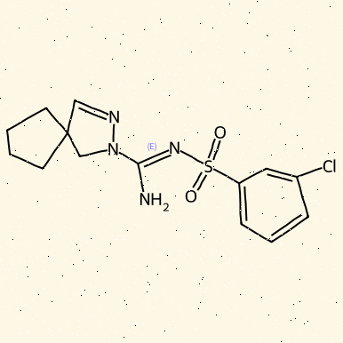 N/C(=N\S(=O)(=O)c1cccc(Cl)c1)N1CC2(C=N1)CCCC2